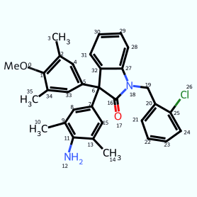 COc1c(C)cc(C2(c3cc(C)c(N)c(C)c3)C(=O)N(Cc3ccccc3Cl)c3ccccc32)cc1C